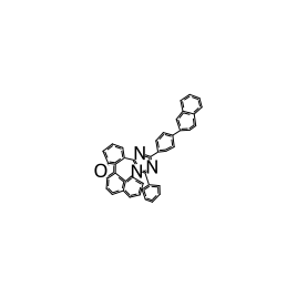 c1ccc(-c2nc(-c3ccc(-c4ccc5ccccc5c4)cc3)nc(-c3cccc4oc5ccc6ccccc6c5c34)n2)cc1